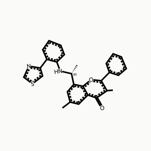 Cc1cc([C@@H](C)Nc2ccccc2-c2cscn2)c2oc(-c3ccccc3)c(C)c(=O)c2c1